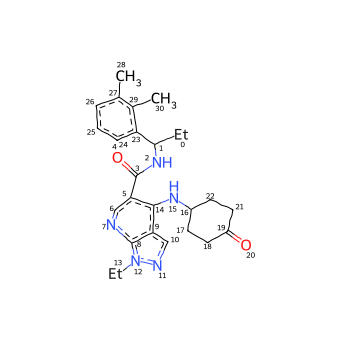 CCC(NC(=O)c1cnc2c(cnn2CC)c1NC1CCC(=O)CC1)c1cccc(C)c1C